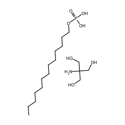 CCCCCCCCCCCCCOP(=O)(O)O.NC(CO)(CO)CO